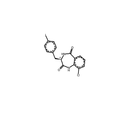 O=C1N[C@H](Cc2ccc(I)cc2)C(=O)Nc2c(Cl)cccc21